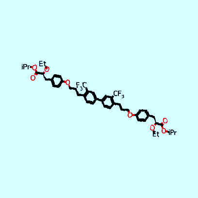 CCO[C@@H](Cc1ccc(OCCCc2ccc(-c3ccc(CCCOc4ccc(C[C@H](OCC)C(=O)OC(C)C)cc4)c(C(F)(F)F)c3)cc2C(F)(F)F)cc1)C(=O)OC(C)C